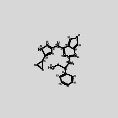 OCC(Nc1nc(Nc2cc(C3CC3)[nH]n2)c2cscc2n1)c1ccccc1